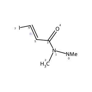 CNN(C)C(=O)/C=C/I